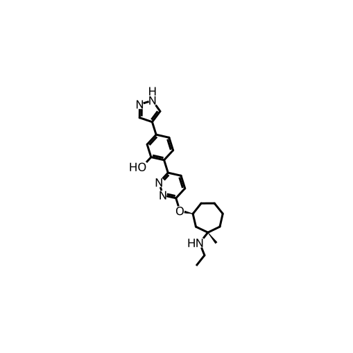 CCN[C@@]1(C)CCCC[C@H](Oc2ccc(-c3ccc(-c4cn[nH]c4)cc3O)nn2)C1